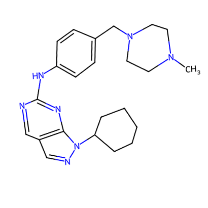 CN1CCN(Cc2ccc(Nc3ncc4cnn(C5CCCCC5)c4n3)cc2)CC1